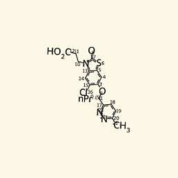 CCC[C@H](Oc1cc2sc(=O)n(CCC(=O)O)c2cc1Cl)c1ccc(C)nn1